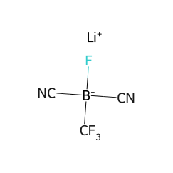 N#C[B-](F)(C#N)C(F)(F)F.[Li+]